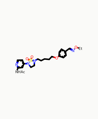 CCO/N=C/c1ccc(OCCCCCN2CCN(c3ccnc(NC(C)=O)c3)S2(=O)=O)cc1